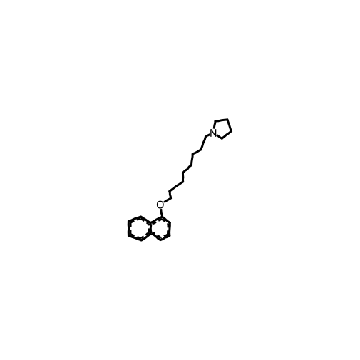 c1ccc2c(OCCCCCCCCN3CCCC3)cccc2c1